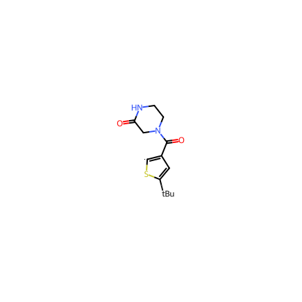 CC(C)(C)c1cc(C(=O)N2CCNC(=O)C2)[c]s1